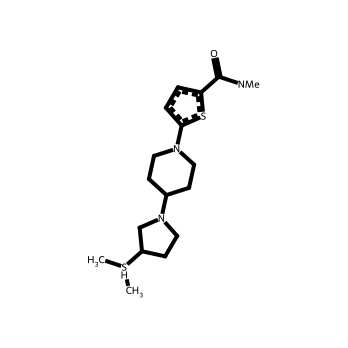 CNC(=O)c1ccc(N2CCC(N3CCC([SH](C)C)C3)CC2)s1